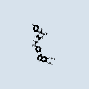 CCn1nc(OC(=O)Nc2ccc(Oc3ccnc4cc(OC)c(OC)cc34)cn2)c(=O)n(-c2ccc(F)cc2)c1=O